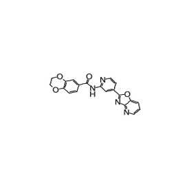 O=C(Nc1cc(-c2nc3ncccc3o2)ccn1)c1ccc2c(c1)OCCO2